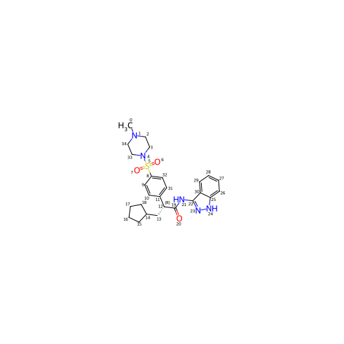 CN1CCN(S(=O)(=O)c2ccc([C@@H](CC3CCCC3)C(=O)Nc3n[nH]c4ccccc34)cc2)CC1